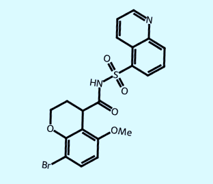 COc1ccc(Br)c2c1C(C(=O)NS(=O)(=O)c1cccc3ncccc13)CCO2